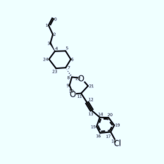 C=CCC[C@H]1CC[C@H](C2COC(C#Cc3ccc(Cl)cc3)CO2)CC1